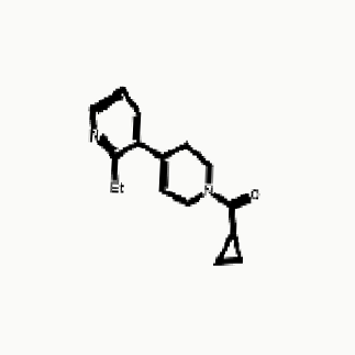 CCc1ncccc1C1=CCN(C(=O)C2CC2)CC1